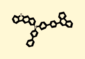 c1ccc(-c2ccc(N(c3ccc(-c4ccc(-c5cc6ccccc6c6ccccc56)cc4)cc3)c3ccc4cc5sc6ccccc6c5cc4c3)cc2)cc1